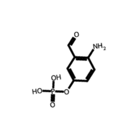 Nc1ccc(OP(=O)(O)O)cc1C=O